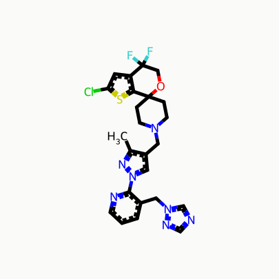 Cc1nn(-c2ncccc2Cn2cncn2)cc1CN1CCC2(CC1)OCC(F)(F)c1cc(Cl)sc12